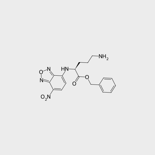 NCCC[C@H](Nc1ccc([N+](=O)[O-])c2nonc12)C(=O)OCc1ccccc1